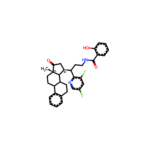 C[C@]12CCC3c4ccccc4CCC3C1[C@H](C(CCNC(=O)c1ccccc1O)c1ncc(F)cc1F)CC2=O